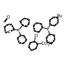 O=C(O)c1ccccc1Cl.[C]=O.[Ru].c1ccc(P(c2ccccc2)c2ccccc2)cc1.c1ccc(P(c2ccccc2)c2ccccc2)cc1